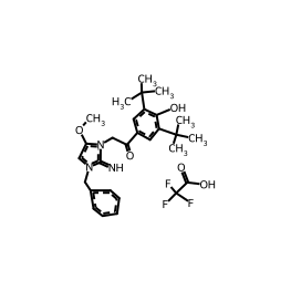 COc1cn(Cc2ccccc2)c(=N)n1CC(=O)c1cc(C(C)(C)C)c(O)c(C(C)(C)C)c1.O=C(O)C(F)(F)F